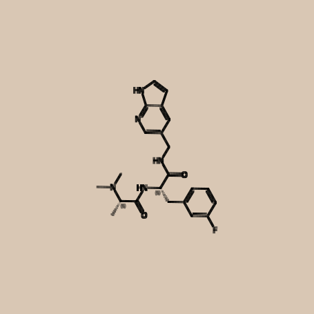 C[C@@H](C(=O)N[C@@H](Cc1cccc(F)c1)C(=O)NCc1cnc2[nH]ccc2c1)N(C)C